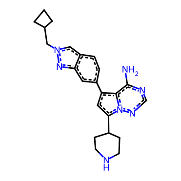 Nc1ncnn2c(C3CCNCC3)cc(-c3ccc4cn(CC5CCC5)nc4c3)c12